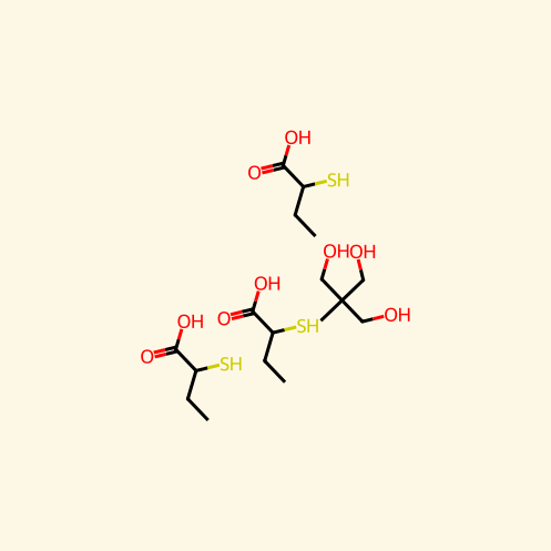 CC(CO)(CO)CO.CCC(S)C(=O)O.CCC(S)C(=O)O.CCC(S)C(=O)O